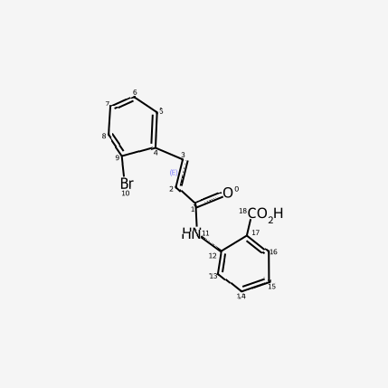 O=C(/C=C/c1ccccc1Br)Nc1ccccc1C(=O)O